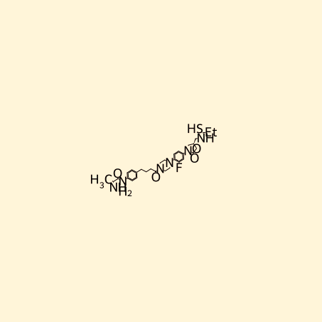 CCC(S)NC[C@@H]1CN(c2ccc(N3CCN(C(=O)CCCc4ccc(NC(=O)[C@H](C)N)cc4)CC3)c(F)c2)C(=O)O1